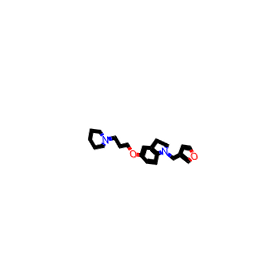 c1cc(CN2CCc3cc(OCCCN4CCCCC4)ccc32)co1